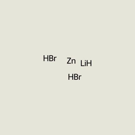 Br.Br.[LiH].[Zn]